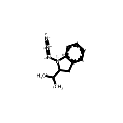 CC(C)C1Cc2ccccc2N1N=[N+]=[N-]